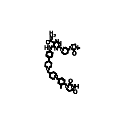 Cc1cc(N2CCC(CN3CCC(c4ccc(Nc5nc(N6CCCC(N7CCN(C)C7=O)C6)nnc5C(N)=O)cc4)CC3)CC2)ccc1N1CCC(=O)NC1=O